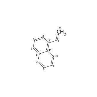 C=Cc1cccc2ccc[c]c12